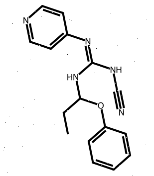 CCC(NC(=Nc1ccncc1)NC#N)Oc1ccccc1